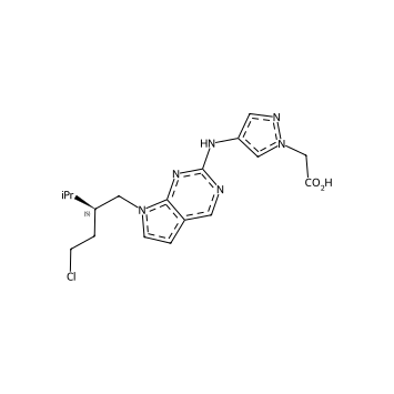 CC(C)[C@H](CCCl)Cn1ccc2cnc(Nc3cnn(CC(=O)O)c3)nc21